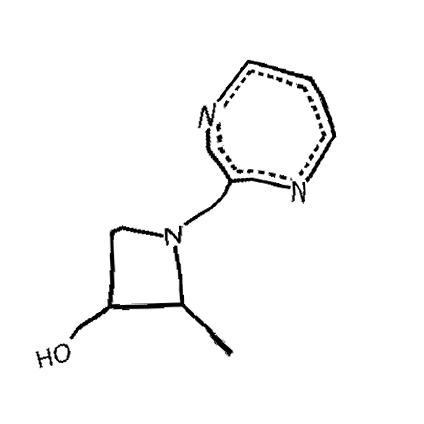 CC1C(O)CN1c1ncccn1